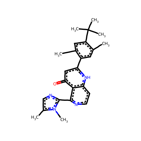 Cc1cc(C(C)(C)C)c(C)cc1-c1cc(=O)c2c(-c3ncc(C)n3C)nccc2[nH]1